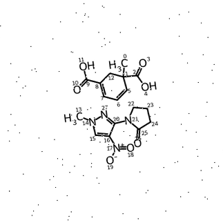 CC1(C(=O)O)C=CC=C(C(=O)O)C1.Cn1cc([N+](=O)[O-])c(N2CCCC2=O)n1